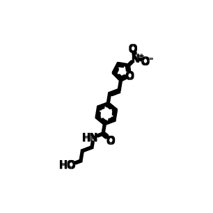 O=C(NCCCO)c1ccc(C=Cc2ccc([N+](=O)[O-])o2)cc1